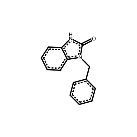 O=c1[nH]c2ccc[c]c2n1Cc1ccccc1